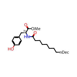 CCCCCCCCCCCCCCCCCC(=O)N[C@@H](Cc1ccc(O)cc1)C(=O)OC